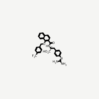 NC(N)=Nc1ccc(C[C@@H](NC(=O)c2ccc3ccccc3c2OCc2ccc(C(F)(F)F)cc2)C(=O)O)cc1